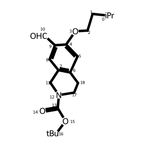 CC(C)CCOc1cc2c(cc1C=O)CN(C(=O)OC(C)(C)C)CC2